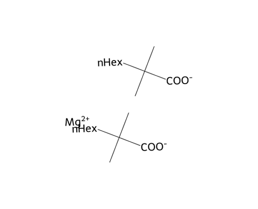 CCCCCCC(C)(C)C(=O)[O-].CCCCCCC(C)(C)C(=O)[O-].[Mg+2]